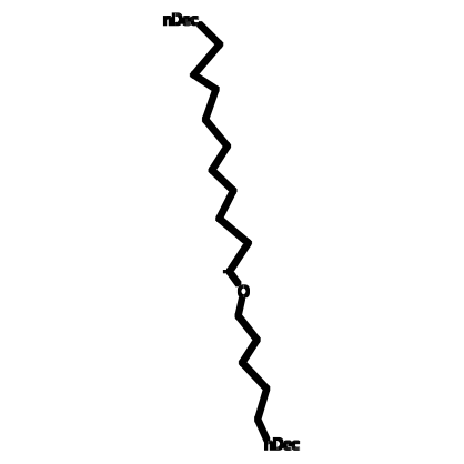 CCCCCCCCCCCCCCCCCCC[CH]OCCCCCCCCCCCCCCC